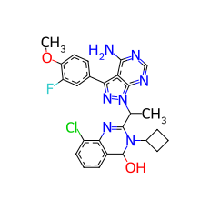 COc1ccc(-c2nn(C(C)C3=Nc4c(Cl)cccc4C(O)N3C3CCC3)c3ncnc(N)c23)cc1F